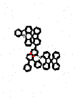 c1ccc(-c2ccccc2-c2ccccc2N(c2cccc(-c3ccc4c(c3)C3(c5ccccc5-4)c4ccccc4-n4c5ccccc5c5cccc3c54)c2)c2cccc3c2-c2ccccc2C32c3ccccc3-c3ccccc32)cc1